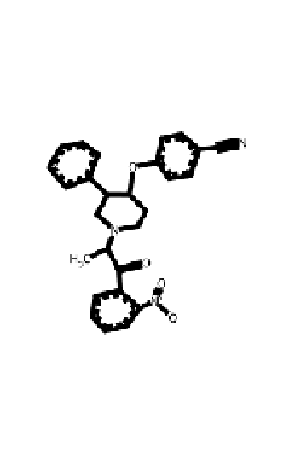 CC(C(=O)c1ccccc1[N+](=O)[O-])N1CCC(Oc2ccc(C#N)cc2)C(c2ccccc2)C1